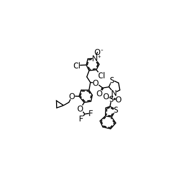 O=C(OC(Cc1c(Cl)c[n+]([O-])cc1Cl)c1ccc(OC(F)F)c(OCC2CC2)c1)C1SCCN1S(=O)(=O)c1cc2ccccc2s1